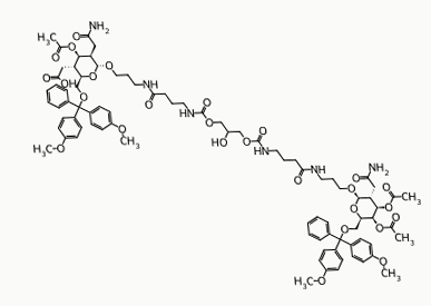 COc1ccc(C(OC[C@@H]2O[C@@H](OCCCNC(=O)CCCNC(=O)OCC(O)COC(=O)NCCCC(=O)NCCCO[C@@H]3O[C@H](COC(c4ccccc4)(c4ccc(OC)cc4)c4ccc(OC)cc4)[C@H](OC(C)=O)[C@H](OC(C)=O)[C@H]3CC(N)=O)[C@H](CC(N)=O)[C@H](OC(C)=O)[C@H]2CC(=O)O)(c2ccccc2)c2ccc(OC)cc2)cc1